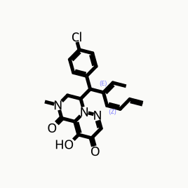 C=C/C=C\C(=C/C)C(c1ccc(Cl)cc1)C1CN(C)C(=O)c2c(O)c(=O)cnn21